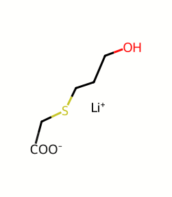 O=C([O-])CSCCCO.[Li+]